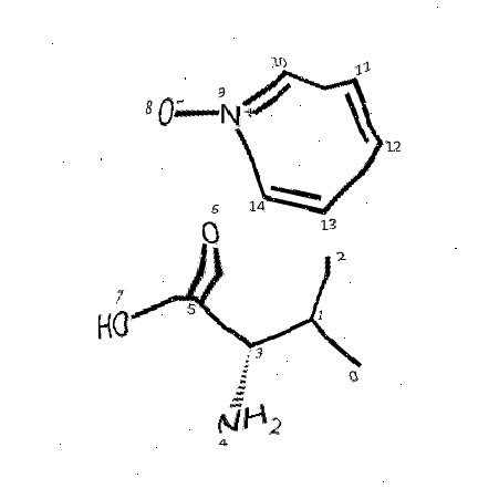 CC(C)[C@H](N)C(=O)O.[O-][n+]1ccccc1